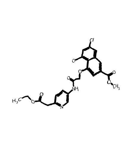 CCOC(=O)Cc1ccc(NC(=O)COc2cc(C(=O)OC)cc3cc(Cl)cc(Cl)c23)cn1